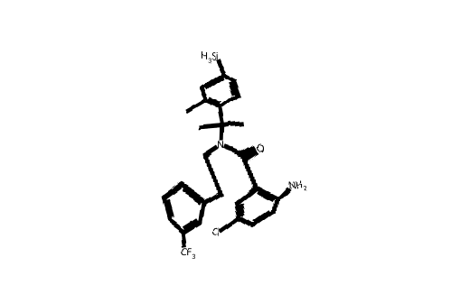 Cc1cc([SiH3])ccc1C(C)(C)N(CCc1cccc(C(F)(F)F)c1)C(=O)c1cc(Cl)ccc1N